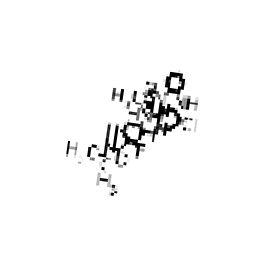 CC(C)NC(=O)c1ccc(Nc2ncc(Cl)c(Nc3ccccc3NS(C)(=O)=O)n2)c(F)c1F